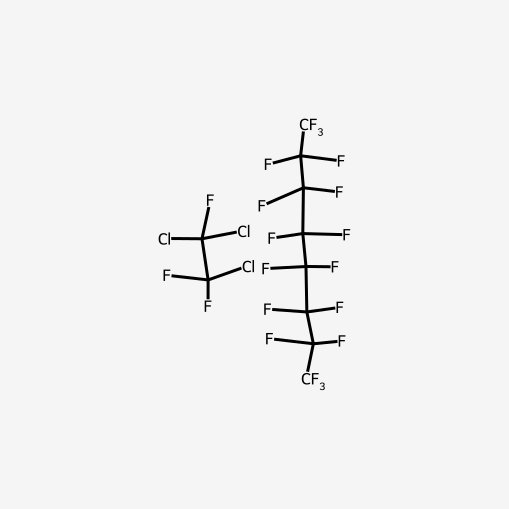 FC(F)(Cl)C(F)(Cl)Cl.FC(F)(F)C(F)(F)C(F)(F)C(F)(F)C(F)(F)C(F)(F)C(F)(F)C(F)(F)F